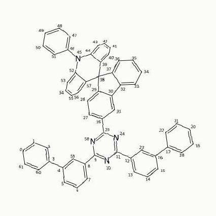 c1ccc(-c2cccc(-c3nc(-c4cccc(-c5ccccc5)c4)nc(-c4ccc5c(c4)-c4ccccc4C54c5ccccc5N(c5ccccc5)c5ccccc54)n3)c2)cc1